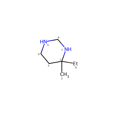 CCC1(C)CCNCN1